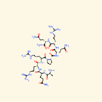 CN[C@@H](C)C(=O)N[C@@H](CCC(N)=O)C(=O)N[C@@H](CCCNC(=N)N)C(=O)N[C@@H](CCCNC(=N)N)C(=O)N1CCC[C@H]1C(=O)N[C@@H](CCC(N)=O)C(=O)N[C@@H](CCCNC(=N)N)C(=O)N[C@@H](CCC(N)=O)C(N)=O